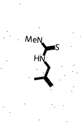 C=C(C)CNC(=S)NC